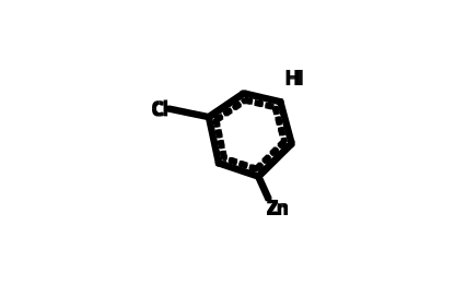 Clc1ccc[c]([Zn])c1.I